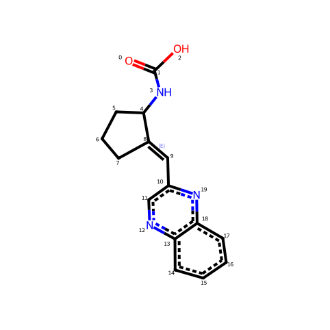 O=C(O)NC1CCC/C1=C\c1cnc2ccccc2n1